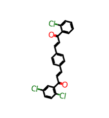 O=C(/C=C/c1ccc(/C=C/C(=O)c2cc(Cl)ccc2Cl)cc1)c1ccccc1Cl